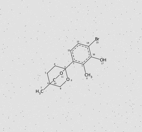 Cc1c(C23CCC(C)(CO2)CO3)ccc(Br)c1O